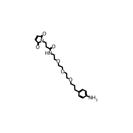 Nc1ccc(CCCOCCOCCOCCNC(=O)CCN2C(=O)C=CC2=O)cc1